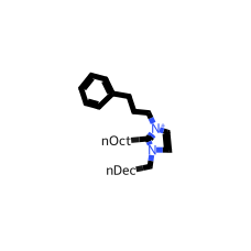 CCCCCCCCCCCn1cc[n+](CCCc2ccccc2)c1CCCCCCCC